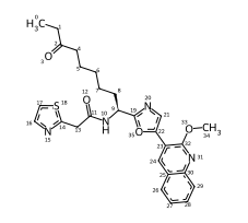 CCC(=O)CCCCC[C@H](NC(=O)Cc1nccs1)c1ncc(-c2cc3ccccc3nc2OC)o1